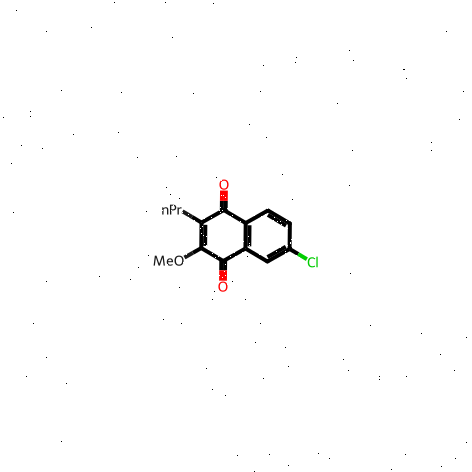 CCCC1=C(OC)C(=O)c2cc(Cl)ccc2C1=O